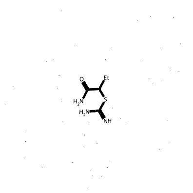 CCC(SC(=N)N)C(N)=O